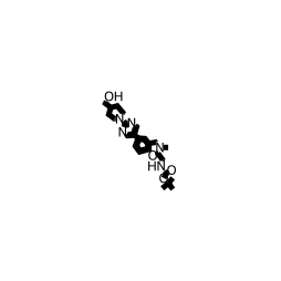 CN(Cc1cccc(-c2cnc(N3CCC(CO)CC3)nc2)c1)C(=O)CNC(=O)OC(C)(C)C